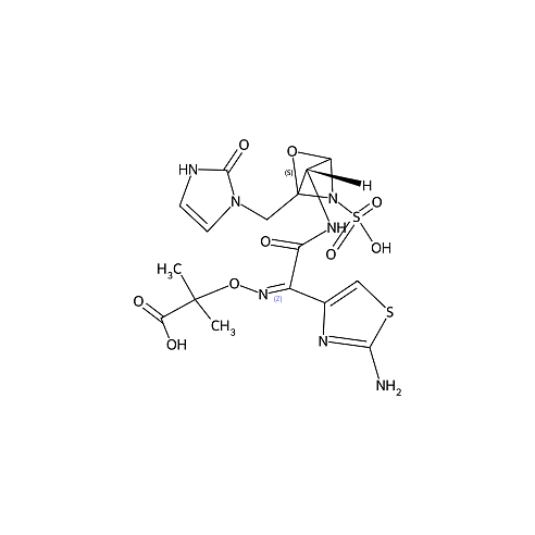 CC(C)(O/N=C(\C(=O)N[C@H]1C2OC1(Cn1cc[nH]c1=O)N2S(=O)(=O)O)c1csc(N)n1)C(=O)O